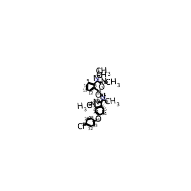 CNC(=O)/C(=N\OC)c1ccccc1CO/N=C(/C)c1nn(C)c2cc(Oc3ccc(Cl)cc3)ccc12